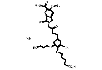 Br.CCOc1cc2c(nc1C(=O)NC)C(=N)N(CC(=O)CCc1cc(OCCCC#N)c(OCCCCC(=O)O)c(C(C)(C)C)c1)C2